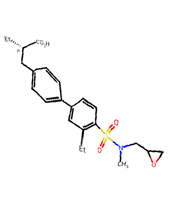 CCc1cc(-c2ccc(C[C@H](CC)C(=O)O)cc2)ccc1S(=O)(=O)N(C)CC1CO1